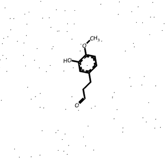 COc1ccc(CCC=O)cc1O